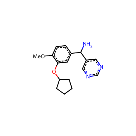 COc1ccc(C(N)c2cncnc2)cc1OC1CCCC1